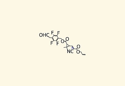 C=CCOC(=O)/C(C#N)=C/C1C(C(=O)OCc2c(F)c(F)c(CC=O)c(F)c2F)C1(C)C